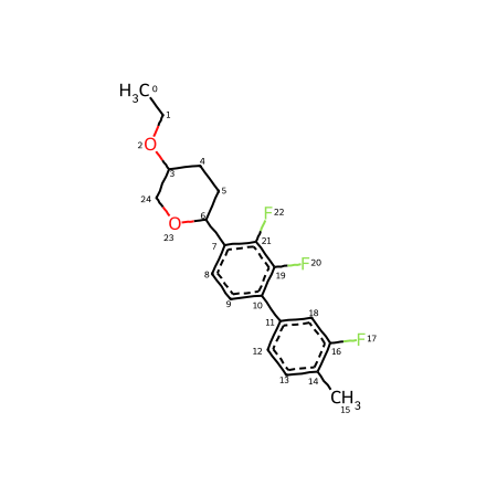 CCOC1CCC(c2ccc(-c3ccc(C)c(F)c3)c(F)c2F)OC1